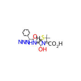 CC1(C)S[C@@H]2[C@H](NC(=O)C(N=[N+]=[N-])c3ccccc3)C(O)N2[C@H]1C(=O)O